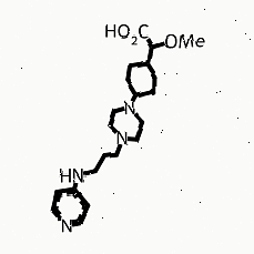 COC(C(=O)O)C1CCC(N2CCN(CCCNc3ccncc3)CC2)CC1